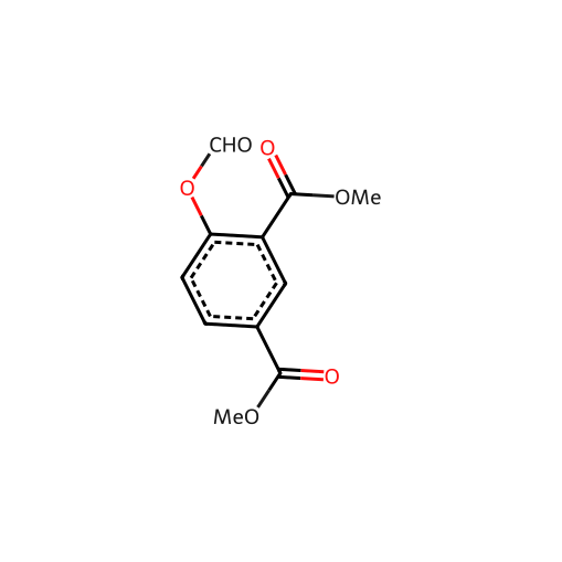 COC(=O)c1ccc(OC=O)c(C(=O)OC)c1